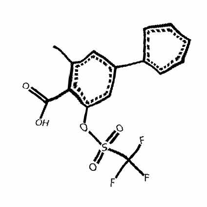 Cc1cc(-c2ccccc2)cc(OS(=O)(=O)C(F)(F)F)c1C(=O)O